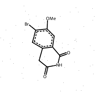 COc1cc2c(cc1Br)CC(=O)NC2=O